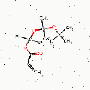 C=CC(=O)O[Si](O[Si](C)(C)O[Si](C)(C)C)(C(C)C)C(C)C